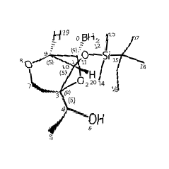 B[C@@H]1O[C@@]2([C@H](C)O)CO[C@@H]1[C@@H]2O[Si](C)(C)C(C)(C)C